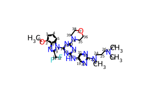 COc1cccc2c1nc(C(F)F)n2-c1nc(Nc2cnc(N(C)CCCN(C)C)nc2)nc(N2CCOCC2)n1